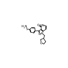 NSc1ccc(-c2nn(CC3CCOC3)c3cc[nH]c(=O)c23)cc1